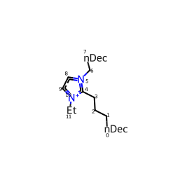 CCCCCCCCCCCCCc1n(CCCCCCCCCCC)cc[n+]1CC